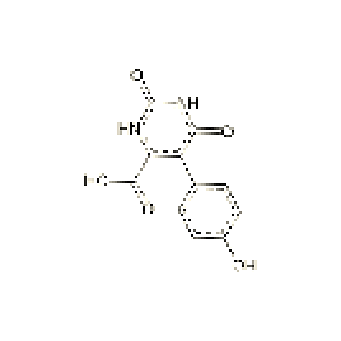 O=C(O)c1[nH]c(=O)[nH]c(=O)c1-c1ccc(O)cc1